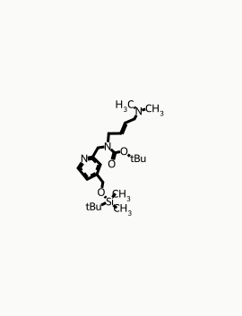 CN(C)C/C=C/CN(Cc1cc(CO[Si](C)(C)C(C)(C)C)ccn1)C(=O)OC(C)(C)C